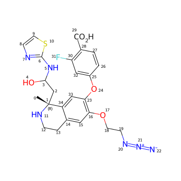 C[C@]1(CC(O)Nc2nccs2)NCCc2cc(OCCN=[N+]=[N-])c(Oc3ccc(C(=O)O)c(F)c3)cc21